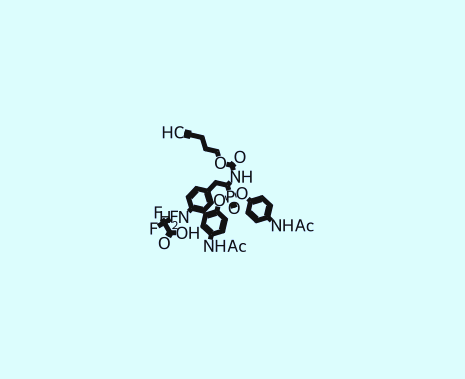 C#CCCCOC(=O)NC(Cc1ccc(N)cc1)P(=O)(Oc1ccc(NC(C)=O)cc1)Oc1ccc(NC(C)=O)cc1.O=C(O)C(F)(F)F